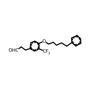 O=CCCc1ccc(OCCCCCc2ccccc2)c(C(F)(F)F)c1